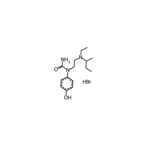 Br.CCC(C)N(CC)CCN(C(N)=O)c1ccc(O)cc1